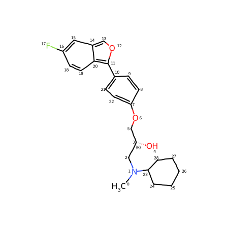 CN(C[C@@H](O)COc1ccc(-c2occ3cc(F)ccc23)cc1)C1CCCCC1